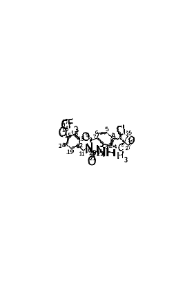 CC1(C(Cl)c2ccc3c(=O)n(Cc4ccc(OC(F)(F)F)cc4)c(=O)[nH]c3c2)COC1